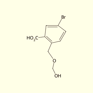 O=C(O)c1cc(Br)ccc1COCO